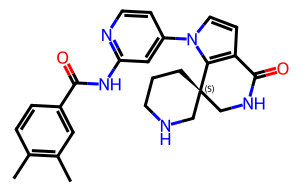 Cc1ccc(C(=O)Nc2cc(-n3ccc4c3[C@]3(CCCNC3)CNC4=O)ccn2)cc1C